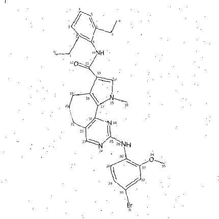 CCc1cccc(CC)c1NC(=O)c1cn(C)c2c1CCCc1cnc(Nc3ccc(Br)cc3OC)nc1-2